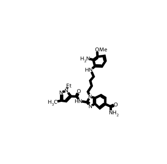 CCn1nc(C)cc1C(=O)Nc1nc2cc(C(N)=O)ccc2n1CCCCNc1cccc(OC)c1N